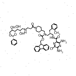 Cc1ccccc1C[C@@H](CNC(=O)c1nc(Cl)c(N)nc1N)CN(CC1CCN(C(=O)CCNC[C@H](O)[C@@H](O)[C@@H]2O[C@H](c3ccccc3)OC[C@H]2O)CC1)C(=O)OCC1c2ccccc2-c2ccccc21